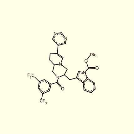 CC(C)(C)OC(=O)n1cc(CC2CN3C=C(c4cncnc4)CCC3CN2C(=O)c2cc(C(F)(F)F)cc(C(F)(F)F)c2)c2ccccc21